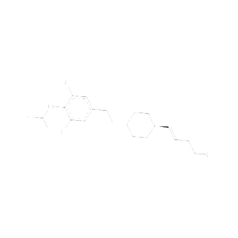 FCCC=C[C@H]1CC[C@H](CCc2cc(F)c(OC(F)F)c(F)c2)CC1